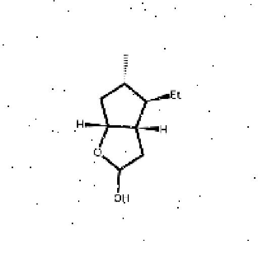 CC[C@H]1[C@@H]2CC(O)O[C@@H]2C[C@@H]1C